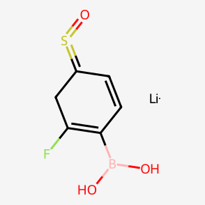 O=S=C1C=CC(B(O)O)=C(F)C1.[Li]